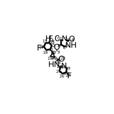 Cc1nc(=O)[nH]cc1OC[C@@]1(c2cc(F)cc(F)c2)C[C@H]1C(=O)Nc1ccc(F)cn1